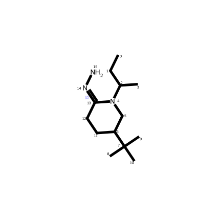 CCC(C)N1CC(C(C)(C)C)CC/C1=N/N